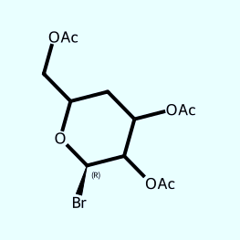 CC(=O)OCC1CC(OC(C)=O)C(OC(C)=O)[C@@H](Br)O1